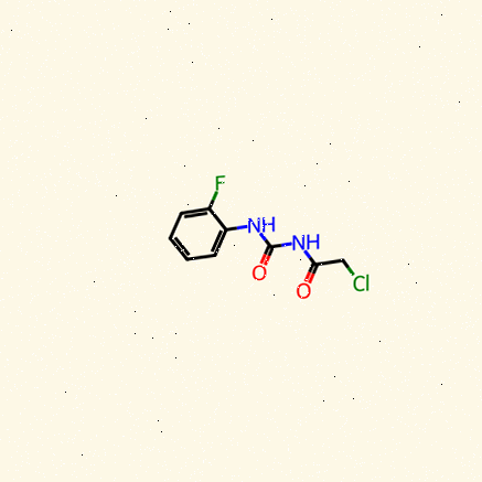 O=C(CCl)NC(=O)Nc1ccccc1F